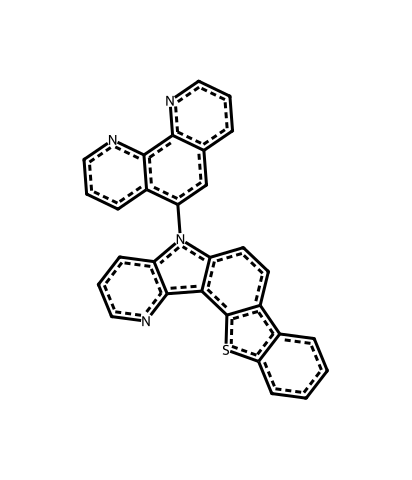 c1cnc2c(c1)cc(-n1c3cccnc3c3c4sc5ccccc5c4ccc31)c1cccnc12